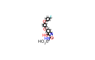 O=C(O)CNC(=O)c1ncc2ccc(Oc3ccc(Oc4ccc(F)cc4)cc3)cc2c1O